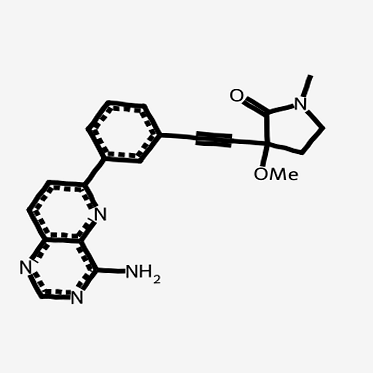 COC1(C#Cc2cccc(-c3ccc4ncnc(N)c4n3)c2)CCN(C)C1=O